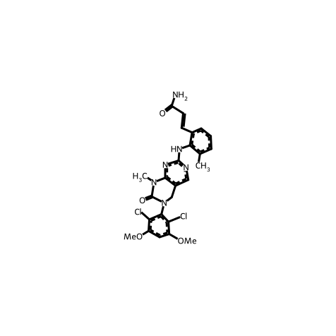 COc1cc(OC)c(Cl)c(N2Cc3cnc(Nc4c(C)cccc4C=CC(N)=O)nc3N(C)C2=O)c1Cl